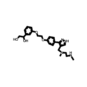 CNCCN(C)Cc1c[nH]nc1-c1ccc(OCCOc2cccc(C(O)CO)c2)cc1